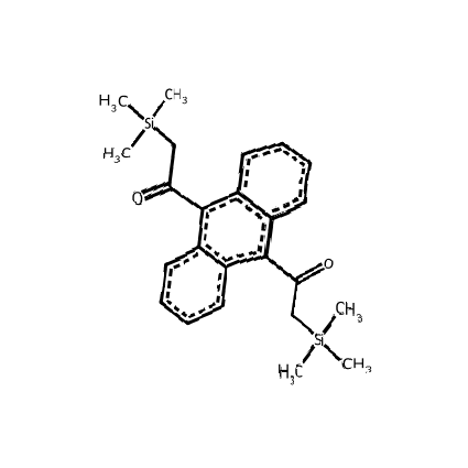 C[Si](C)(C)CC(=O)c1c2ccccc2c(C(=O)C[Si](C)(C)C)c2ccccc12